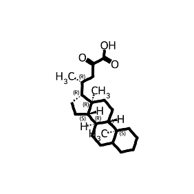 C[C@H](CC(=O)C(=O)O)[C@H]1CC[C@H]2[C@@H]3CCC4CCCC[C@]4(C)[C@H]3CC[C@]12C